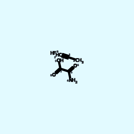 C#CC.F.NC(=O)C(=O)O